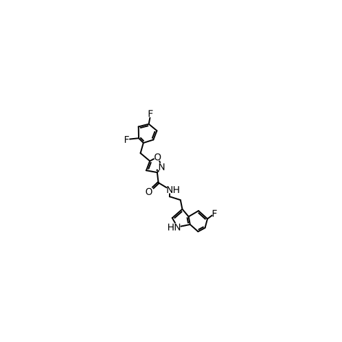 O=C(NCCc1c[nH]c2ccc(F)cc12)c1cc(Cc2ccc(F)cc2F)on1